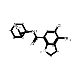 Nc1c(Cl)cc(C(=O)NC2CN3CCC2CC3)c2c1CCO2